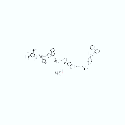 CN(CCN1CCC(OC(=O)Nc2ccccc2-c2ccccc2)CC1)C(=O)CCCCCN1CCc2cc(C(=O)N(C)CCCN(C)C(=O)CO[C@H]3Cc4ccccc4C34CCN(CC[C@@]3(c5ccc(F)cc5)CN(C(=O)c5cc(C(F)(F)F)cc(C(F)(F)F)c5)CO3)CC4)ccc21.Cl.Cl.Cl